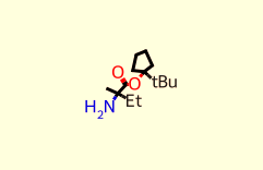 CCC(C)(N)C(=O)OC1(C(C)(C)C)CCCC1